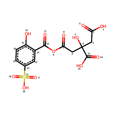 O=C(O)CC(O)(CC(=O)OC(=O)c1cc(S(=O)(=O)O)ccc1O)C(=O)O